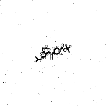 CC(C)Cc1cc2c(NC3CCN(C(=O)OC(C)(C)C)CC3)ncnc2s1